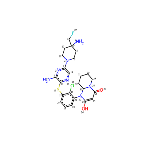 Nc1nc(N2CCC(N)(CF)CC2)cnc1Sc1cccc(N2C(O)=CC(=O)N3CCCCC32)c1Cl